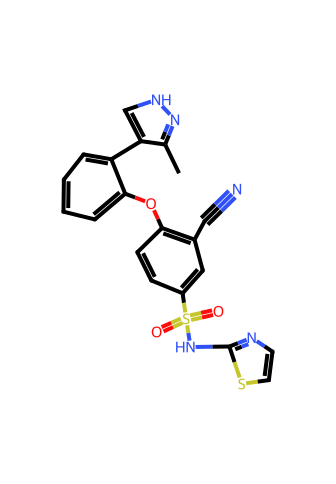 Cc1n[nH]cc1-c1ccccc1Oc1ccc(S(=O)(=O)Nc2nccs2)cc1C#N